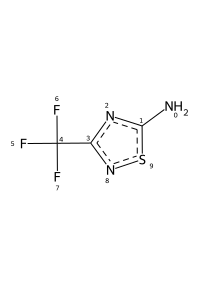 Nc1nc(C(F)(F)F)ns1